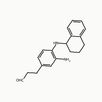 Nc1cc(CCC=O)ccc1NC1CCCc2ccccc21